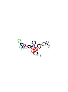 COC(=O)c1cc(Oc2ncc(CCl)cc2C(F)(F)F)ccc1N(C(=O)[C@H]1CC[C@H](C)CC1)C1CCCCC1